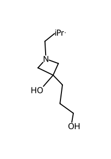 C[C](C)CN1CC(O)(CCCO)C1